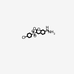 NNc1ccc2cc(S(=O)(=O)c3ccc(Cl)cc3)c(=O)oc2c1